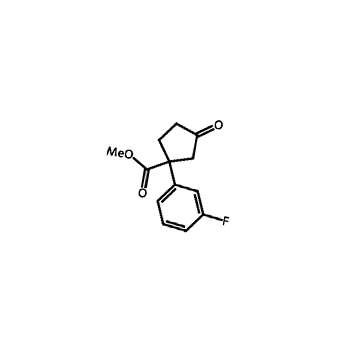 COC(=O)C1(c2cccc(F)c2)CCC(=O)C1